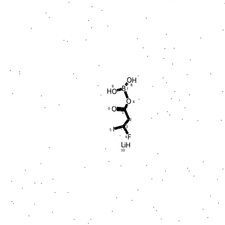 O=C(CC(F)I)OB(O)O.[LiH]